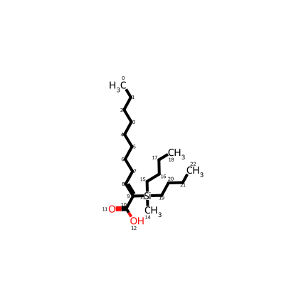 CCCCCCCCC=C(C(=O)O)[Si](C)(CCCC)CCCC